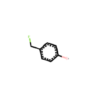 [B]c1ccc(CF)cc1